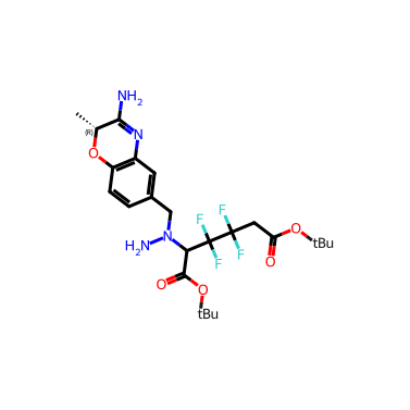 C[C@H]1Oc2ccc(CN(N)C(C(=O)OC(C)(C)C)C(F)(F)C(F)(F)CC(=O)OC(C)(C)C)cc2N=C1N